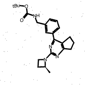 C[C@H]1CCN1c1nc2c(c(-c3cccc(CNC(=O)OC(C)(C)C)c3)n1)CCC2